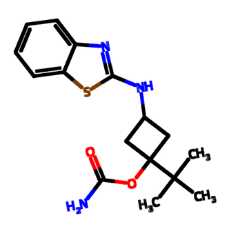 CC(C)(C)C1(OC(N)=O)CC(Nc2nc3ccccc3s2)C1